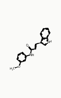 COc1cccc(NC(=O)/C=C/c2c[nH]c3ccccc23)c1